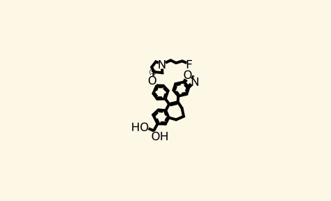 OC(O)c1ccc2c(c1)CCCC(c1ccc3ocnc3c1)=C2c1ccc(O[C@H]2CCN(CCCF)C2)cc1